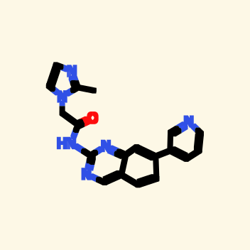 Cc1nccn1CC(=O)Nc1ncc2ccc(-c3cccnc3)cc2n1